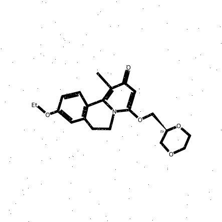 CCOc1ccc2c(c1)CCn1c(OC[C@@H]3COCCO3)cc(=O)c(C)c1-2